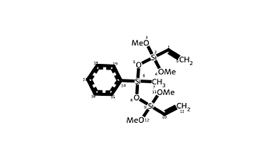 C=C[Si](OC)(OC)O[Si](C)(O[Si](C=C)(OC)OC)c1ccccc1